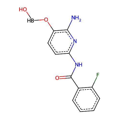 Nc1nc(NC(=O)c2ccccc2F)ccc1OBO